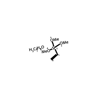 C=C[Si](OC)(OC)OC.O.[CaH2]